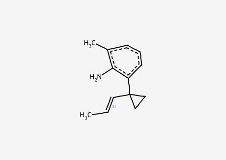 C/C=C/C1(c2cccc(C)c2N)CC1